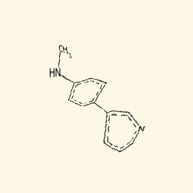 CNc1ccc(-c2cccnc2)cc1